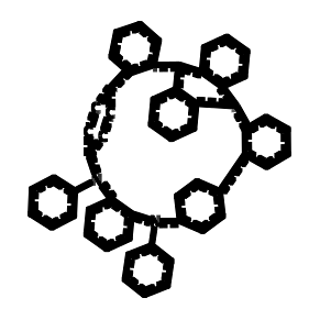 c1ccc(-n2c3ccc(cc3)c3ccccc3c3c4ccccc4c(c4ccccc4c4ccc(cc4)n(-c4ccccc4)c4ccccc42)c2ccccc23)cc1